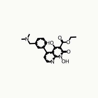 CCOC(=O)c1c(O)c2c(-c3cccc(CN(C)C)c3)ccnc2n(O)c1=O